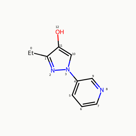 CCc1nn(-c2cccnc2)cc1O